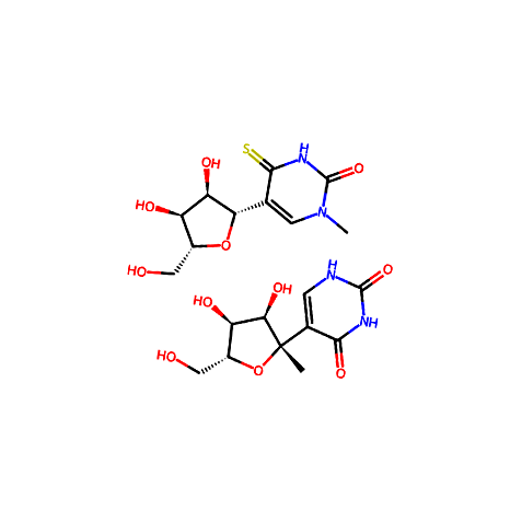 C[C@@]1(c2c[nH]c(=O)[nH]c2=O)O[C@H](CO)[C@@H](O)[C@H]1O.Cn1cc([C@@H]2O[C@H](CO)[C@@H](O)[C@H]2O)c(=S)[nH]c1=O